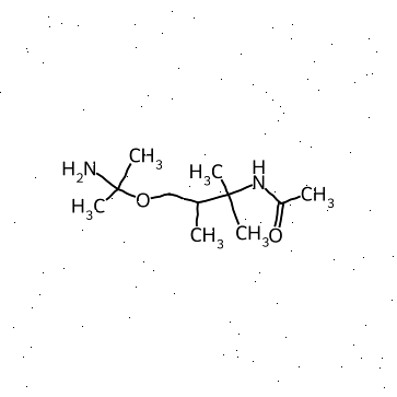 CC(=O)NC(C)(C)C(C)COC(C)(C)N